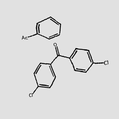 CC(=O)c1ccccc1.O=C(c1ccc(Cl)cc1)c1ccc(Cl)cc1